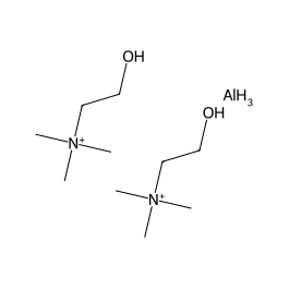 C[N+](C)(C)CCO.C[N+](C)(C)CCO.[AlH3]